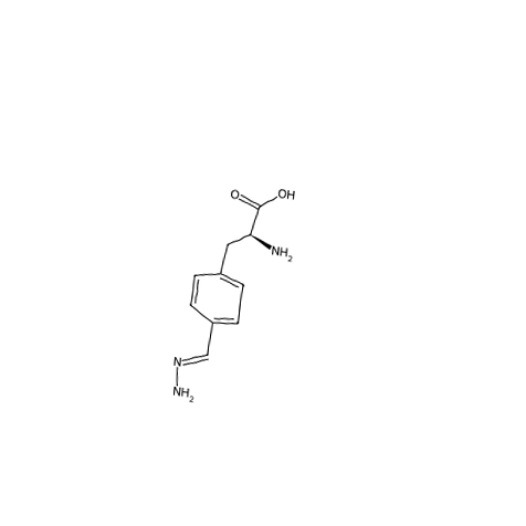 NN=Cc1ccc(C[C@H](N)C(=O)O)cc1